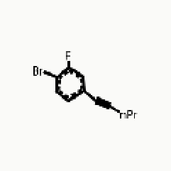 CCCC#Cc1ccc(Br)c(F)c1